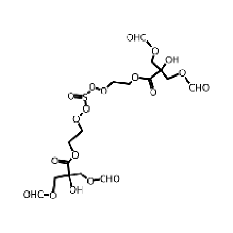 O=COCC(O)(COC=O)C(=O)OCCOOS(=O)OOCCOC(=O)C(O)(COC=O)COC=O